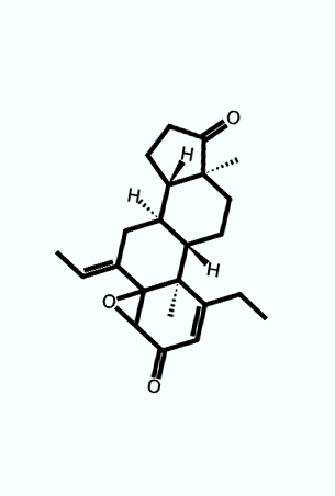 C/C=C1\C[C@H]2[C@@H]3CCC(=O)[C@@]3(C)CC[C@@H]2[C@@]2(C)C(CC)=CC(=O)C3OC132